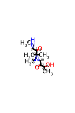 CNCC(=O)C(C)(C)N(C)CC(=O)C(C)O